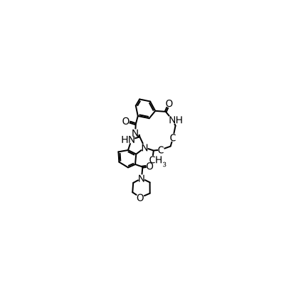 CC1CCCCNC(=O)c2cccc(c2)C(=O)/N=C2\Nc3cccc(C(=O)N4CCOCC4)c3N21